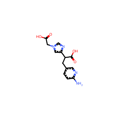 Nc1ccc(CC(C(=O)O)c2cn(CC(=O)O)cn2)cn1